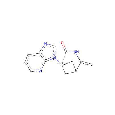 C=C1NC(=O)C2(n3cnc4cccnc43)CC1C2